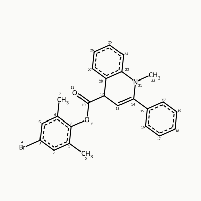 Cc1cc(Br)cc(C)c1OC(=O)C1C=C(c2ccccc2)N(C)c2ccccc21